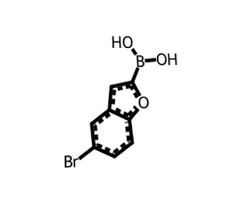 OB(O)c1cc2cc(Br)ccc2o1